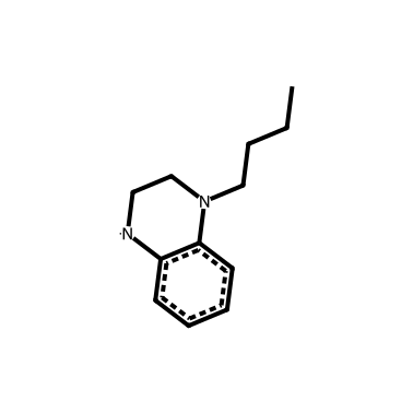 CCCCN1CC[N]c2ccccc21